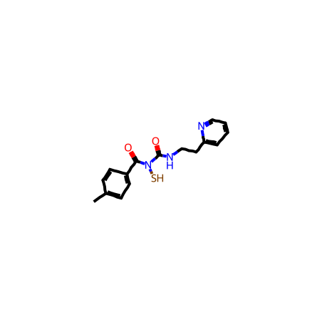 Cc1ccc(C(=O)N(S)C(=O)NCCc2ccccn2)cc1